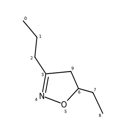 CCCC1=NOC(CC)C1